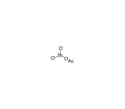 [As].[Cl][Sb]([Cl])[Cl]